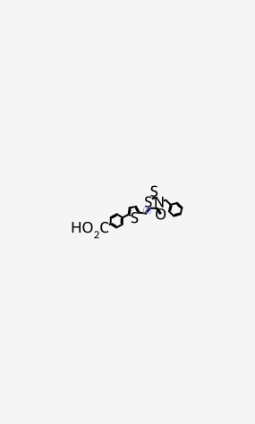 O=C(O)c1ccc(-c2ccc(/C=C3\SC(=S)N(Cc4ccccc4)C3=O)s2)cc1